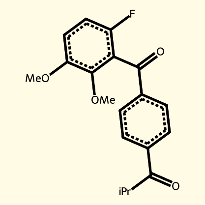 COc1ccc(F)c(C(=O)c2ccc(C(=O)C(C)C)cc2)c1OC